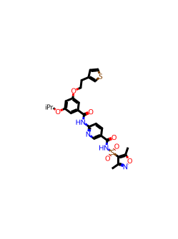 Cc1noc(C)c1S(=O)(=O)NC(=O)c1ccc(NC(=O)c2cc(OCCc3ccsc3)cc(OC(C)C)c2)nc1